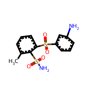 Cc1cccc(S(=O)(=O)c2cccc(N)c2)c1S(N)(=O)=O